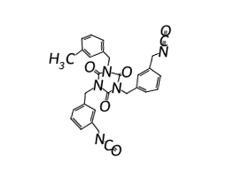 Cc1cccc(Cn2c(=O)n(Cc3cccc(CN=C=O)c3)c(=O)n(Cc3cccc(CN=C=O)c3)c2=O)c1